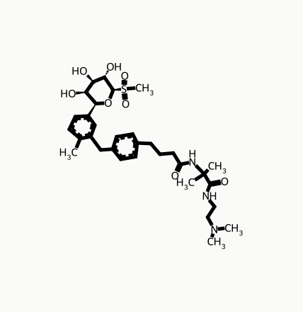 Cc1ccc([C@@H]2O[C@H](S(C)(=O)=O)[C@@H](O)[C@H](O)[C@@H]2O)cc1Cc1ccc(CCCC(=O)NC(C)(C)C(=O)NCCN(C)C)cc1